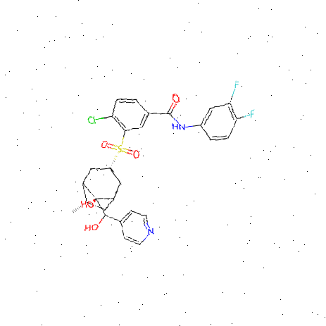 C[C@H]1CC2C[C@@H](S(=O)(=O)c3cc(C(=O)Nc4ccc(F)c(F)c4)ccc3Cl)CC1[C@@]2(O)C(O)c1ccncc1